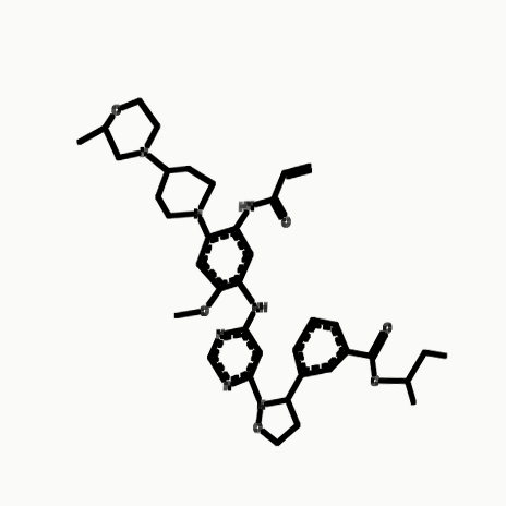 C=CC(=O)Nc1cc(Nc2cc(N3OCCC3c3cccc(C(=O)OC(C)CC)c3)ncn2)c(OC)cc1N1CCC(N2CCOC(C)C2)CC1